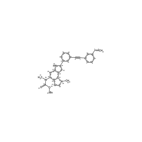 C=Cc1cccc(C#Cc2cccc(-c3cc4c(nc(N(C)C(=O)OC(C)(C)C)c5ncn(C)c54)[nH]3)c2)c1